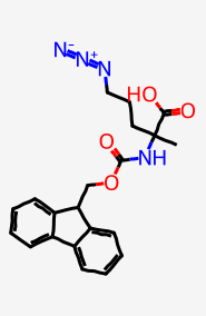 CC(CCCN=[N+]=[N-])(NC(=O)OCC1c2ccccc2-c2ccccc21)C(=O)O